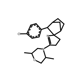 CC1CN(C2=NC3(CC2)C2CCC(C2)C3c2ccc(Cl)cc2)C(C)CO1